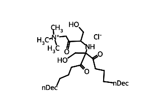 CCCCCCCCCCCCCC(=O)C(CO)(NC(CO)C(=O)C[N+](C)(C)C)C(=O)CCCCCCCCCCCCC.[Cl-]